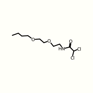 CCCCOCCOCCNC(=O)C(Cl)Cl